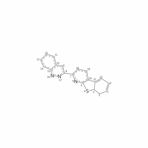 C1=CCC2Sc3nc(-c4cc5ccccc5nn4)ccc3C2=C1